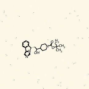 CC(C)(C)OC(=O)N1CCC(C(O)C[C@H]2c3ccccc3-c3cncn32)CC1